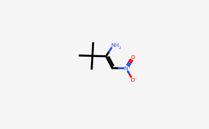 CC(C)(C)C(N)=C[N+](=O)[O-]